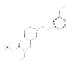 CCN(CC1CCCN(CCc2cccc(OC)c2)C1)C(=O)OC(C)(C)C